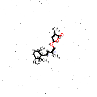 CC1=CC(O/C=C(C)\C=C\C2=C(C)CCCC2(C)C)OC1=O